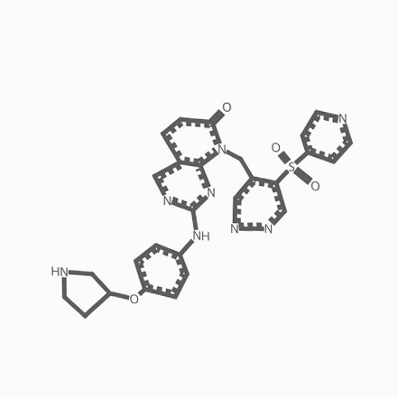 O=c1ccc2cnc(Nc3ccc(OC4CCNC4)cc3)nc2n1Cc1cnncc1S(=O)(=O)c1ccncc1